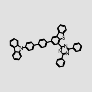 c1ccc(-c2nc(-c3ccccc3)nc(-c3cc(-c4ccc(-c5ccc(-n6c7ccccc7c7ccccc76)cc5)cc4)cc4c3sc3ccccc34)n2)cc1